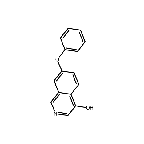 Oc1cncc2cc(Oc3ccccc3)ccc12